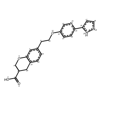 O=C(O)C1COc2cc(CCOc3ccc(-c4ccn[nH]4)nc3)ccc2C1